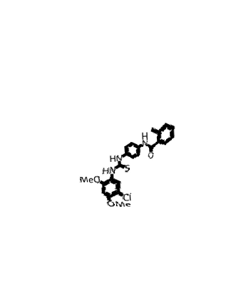 COc1cc(OC)c(NC(=S)Nc2ccc(NC(=O)c3ccccc3C)cc2)cc1Cl